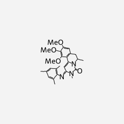 COc1cc2c(c(OC)c1OC)-c1cc(=Nc3c(C)cc(C)cc3C)n(C)c(=O)n1C(C)C2